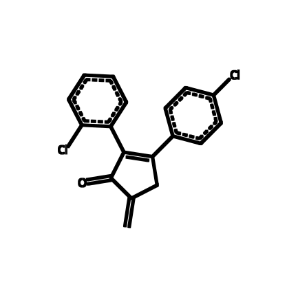 C=C1CC(c2ccc(Cl)cc2)=C(c2ccccc2Cl)C1=O